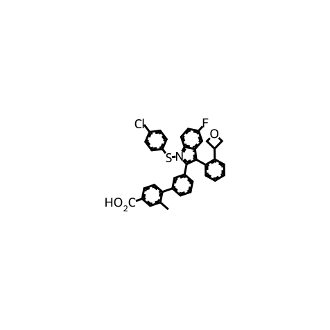 Cc1cc(C(=O)O)ccc1-c1cccc(-c2c(-c3ccccc3C3COC3)c3cc(F)ccc3n2Sc2ccc(Cl)cc2)c1